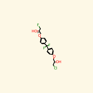 O[C@H](CCl)COc1ccc(C(F)(F)c2ccc(OC[C@@H](O)CF)cc2)cc1